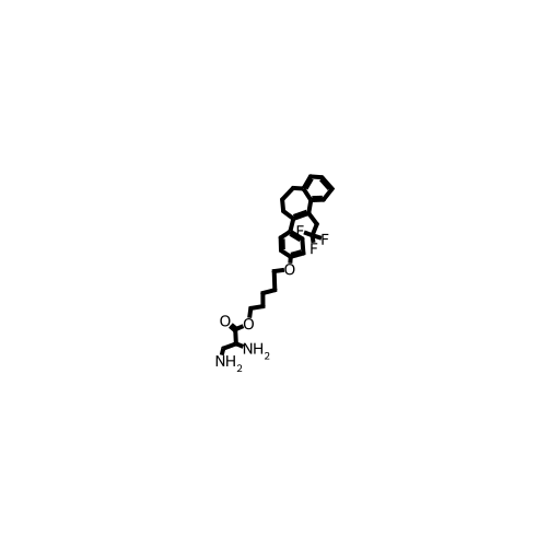 NCC(N)C(=O)OCCCCCOc1ccc(C2=C(CC(F)(F)F)c3ccccc3CCC2)cc1